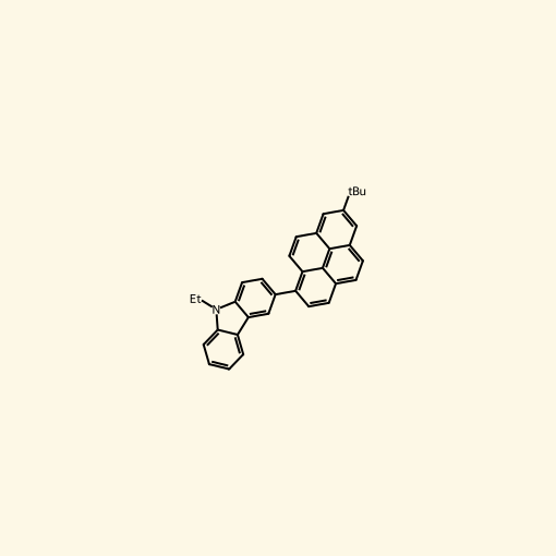 CCn1c2ccccc2c2cc(-c3ccc4ccc5cc(C(C)(C)C)cc6ccc3c4c56)ccc21